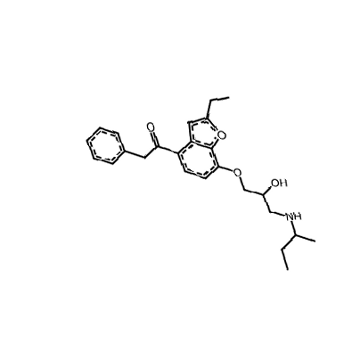 CCc1cc2c(C(=O)Cc3ccccc3)ccc(OCC(O)CNC(C)CC)c2o1